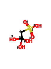 O=S(=O)(O)CC(O)(O)O